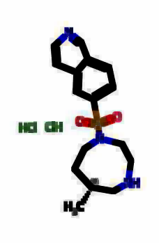 C[C@@H]1CCN(S(=O)(=O)c2ccc3cnccc3c2)CCNC1.Cl.Cl